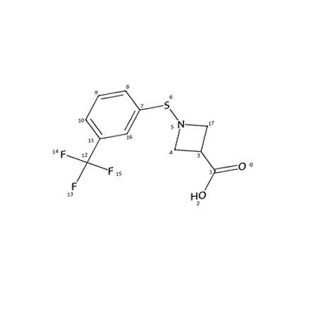 O=C(O)C1CN(Sc2cccc(C(F)(F)F)c2)C1